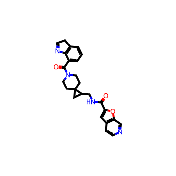 O=C(NCC1CC12CCN(C(=O)c1cccc3c1N=CC3)CC2)c1cc2ccncc2o1